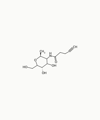 C#CCCC(=O)NC1C(O)[C@H](O)C(CO)O[C@H]1C